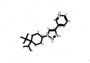 CC(C)C1(C(C)(C)C)CCC(n2cc(-c3cccnc3)nn2)CC1